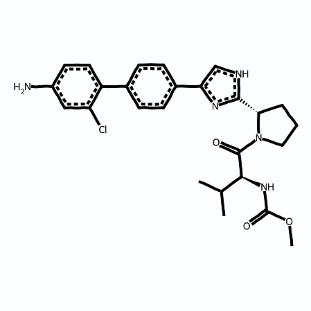 COC(=O)N[C@H](C(=O)N1CCC[C@H]1c1nc(-c2ccc(-c3ccc(N)cc3Cl)cc2)c[nH]1)C(C)C